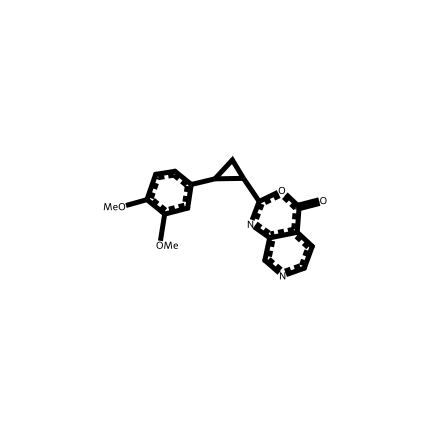 COc1ccc(C2CC2c2nc3cnccc3c(=O)o2)cc1OC